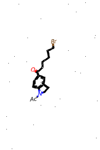 CC(=O)N1CCc2cc(C(=O)CCCCCBr)ccc21